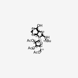 CCCCNc1nc2c(O)ncnc2n1[C@@H]1O[C@H](COC(C)=O)[C@@H](OC(C)=O)[C@H]1OC(C)=O